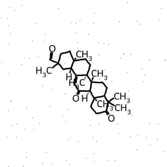 CC1(C=O)CC[C@]2(C)CC[C@]3(C)C(=CC(=O)[C@@H]4[C@@]5(C)CCC(=O)C(C)(C)C5CC[C@]43C)[C@@H]2C1